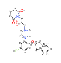 O=C1CCCC(=O)N1C[C@@H](O)CN1CCN(c2cc(F)ccc2OC2Cc3ccccc3C2)CC1